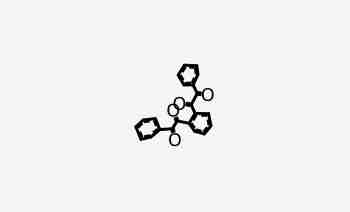 O=C(C(=O)c1ccccc1C(=O)C(=O)c1ccccc1)c1ccccc1